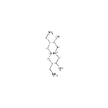 NCCCNCCCN.OCCOCCO